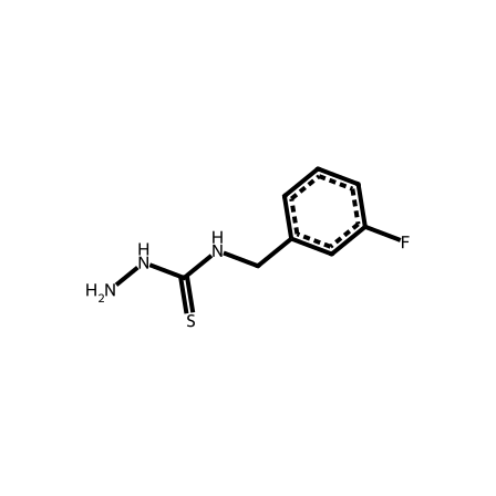 NNC(=S)NCc1cccc(F)c1